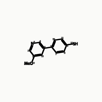 COc1cncc(-c2ccc(S)cc2)c1